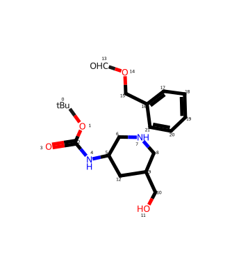 CC(C)(C)OC(=O)NC1CNCC(CO)C1.O=COCc1ccccc1